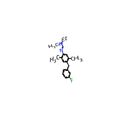 CCN(C)C=Nc1cc(C)c(Cc2cccc(F)c2)cc1C